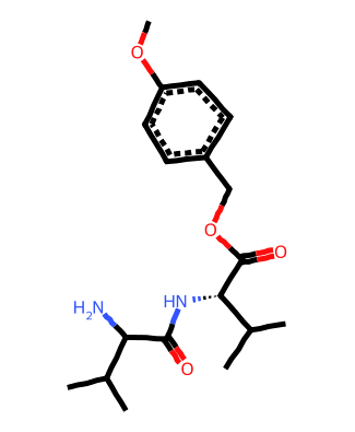 COc1ccc(COC(=O)[C@@H](NC(=O)C(N)C(C)C)C(C)C)cc1